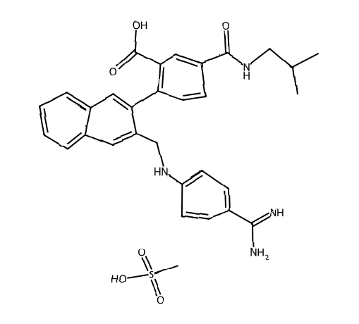 CC(C)CNC(=O)c1ccc(-c2cc3ccccc3cc2CNc2ccc(C(=N)N)cc2)c(C(=O)O)c1.CS(=O)(=O)O